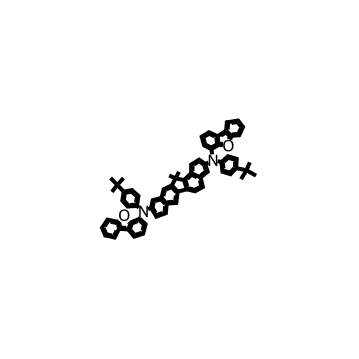 CC(C)(C)c1ccc(N(c2ccc3cc4c(cc3c2)C(C)(C)c2c-4ccc3cc(N(c4ccc(C(C)(C)C)cc4)c4cccc5c4oc4ccccc45)ccc23)c2cccc3c2oc2ccccc23)cc1